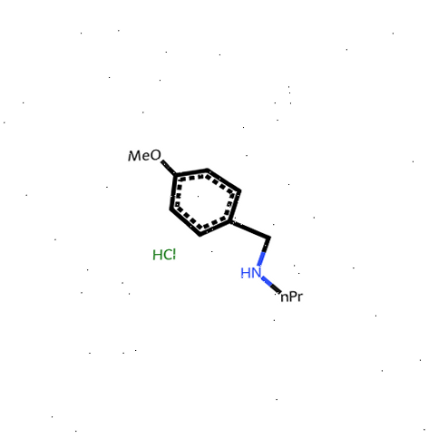 CCCNCc1ccc(OC)cc1.Cl